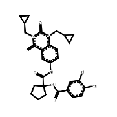 N#Cc1ccc(C(=O)NC2(C(=O)Nc3ccc4c(c3)c(=O)n(CC3CC3)c(=O)n4CC3CC3)CCCC2)cc1Cl